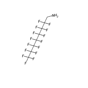 NCC(F)(F)C(F)(F)C(F)(F)C(F)(F)C(F)(F)C(F)(F)C(F)(F)F